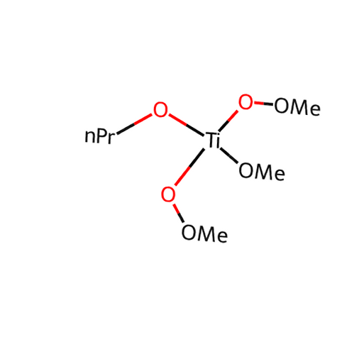 CCC[O][Ti]([O]C)([O]OC)[O]OC